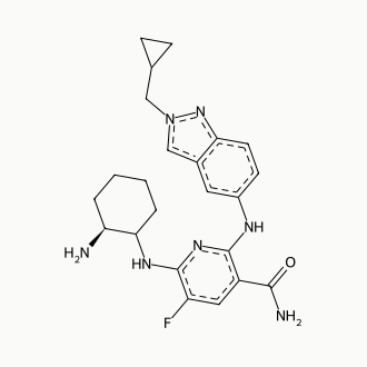 NC(=O)c1cc(F)c(NC2CCCC[C@@H]2N)nc1Nc1ccc2nn(CC3CC3)cc2c1